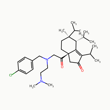 CC(C)C1=C2[C@@H](C(C)C)[C@](C)(C(C)C)CC[C@@]2(C(=O)CN(CCN(C)C)Cc2ccc(Cl)cc2)CC1=O